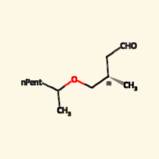 CCCCCC(C)OC[C@@H](C)CC=O